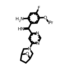 CC(C)Oc1cc(C(=N)c2cc(N3CC4CCC(C3)O4)ncn2)c(N)cc1F